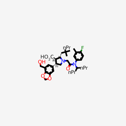 CCCC(CCC)N(C(=O)CN1C[C@H](c2cc(CO)c3c(c2)OCO3)[C@@H](C(=O)O)[C@@H]1CC(C)(C)CCC)c1ccc(F)c(C)c1